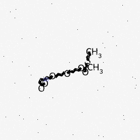 CCCSCC(C)C(=O)OCCCCOCCCCOC/C=C1/CCC(=O)O1